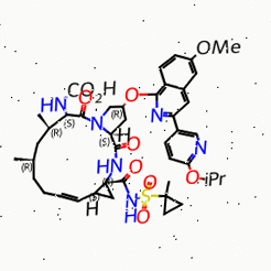 COc1ccc2c(O[C@@H]3C[C@H]4C(=O)N[C@]5(C(=O)NS(=O)(=O)C6(C)CC6)C[C@H]5C=CCC[C@@H](C)C[C@@H](C)[C@H](NC(=O)O)C(=O)N4C3)nc(-c3ccc(OC(C)C)nc3)cc2c1